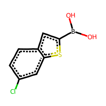 OB(O)c1cc2ccc(Cl)cc2s1